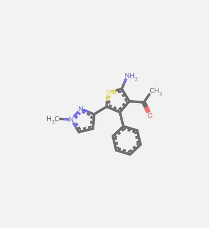 CC(=O)c1c(N)sc(-c2ccn(C)n2)c1-c1ccccc1